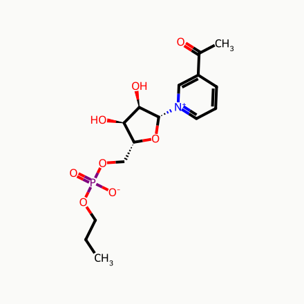 CCCOP(=O)([O-])OC[C@H]1O[C@@H]([n+]2cccc(C(C)=O)c2)[C@H](O)[C@@H]1O